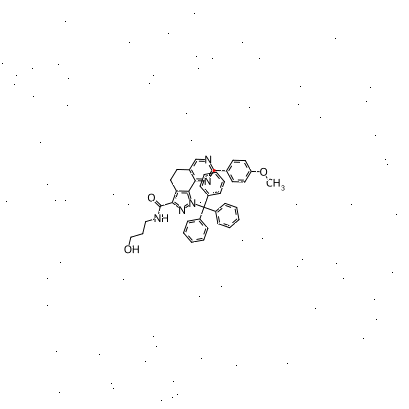 COc1ccc(-c2ncc3c(n2)-c2c(c(C(=O)NCCCO)nn2C(c2ccccc2)(c2ccccc2)c2ccccc2)CC3)cc1